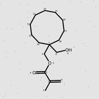 C=C(C)C(=O)OCC1(CO)CCCCCCCCC1